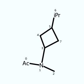 CC(=O)N(C)C1CC(C(C)C)C1